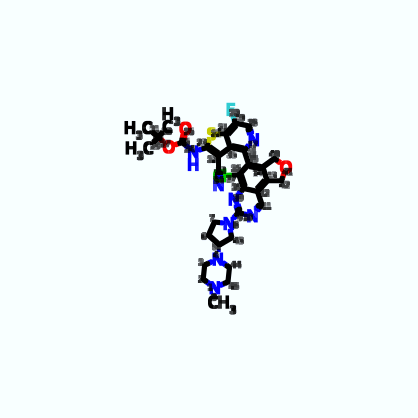 CN1CCN([C@@H]2CCN(c3ncc4c5c(c(-c6ncc(F)c7sc(NC(=O)OC(C)(C)C)c(C#N)c67)c(Cl)c4n3)COC5)C2)CC1